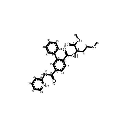 COC(=O)C(CCSC)NC(=O)c1ccc(C(=O)Nc2ccccn2)cc1-c1ccccc1